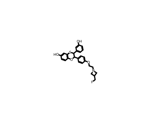 Oc1cccc(C2Sc3cc(O)ccc3OC2c2ccc(OCCN3CC(CF)C3)cc2)c1